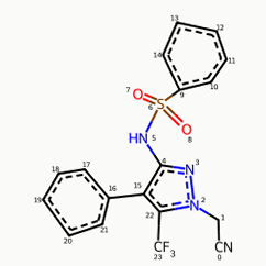 N#CCn1nc(NS(=O)(=O)c2ccccc2)c(-c2ccccc2)c1C(F)(F)F